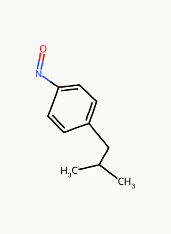 CC(C)Cc1ccc(N=O)cc1